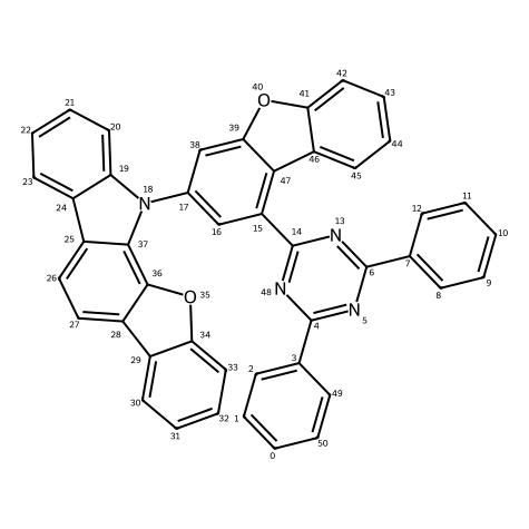 c1ccc(-c2nc(-c3ccccc3)nc(-c3cc(-n4c5ccccc5c5ccc6c7ccccc7oc6c54)cc4oc5ccccc5c34)n2)cc1